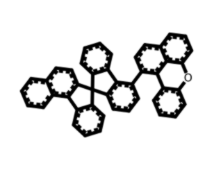 c1ccc2c(c1)Oc1cccc3ccc(-c4cccc5c4-c4ccccc4C54c5ccccc5-c5c4ccc4ccccc54)c-2c13